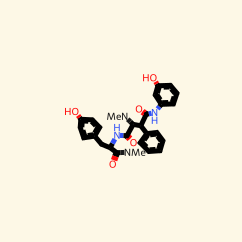 CNC(=O)C(Cc1ccc(O)cc1)NC(=O)C(NC)C(C(=O)Nc1cccc(O)c1)c1ccccc1